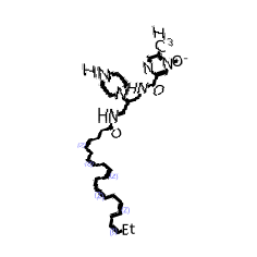 CC/C=C\C/C=C\C/C=C\C/C=C\C/C=C\C/C=C\CCC(=O)NCC(CNC(=O)c1c[n+]([O-])c(C)cn1)N1CCNCC1